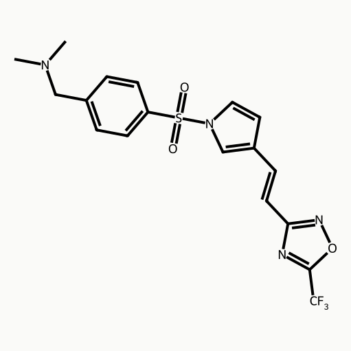 CN(C)Cc1ccc(S(=O)(=O)n2ccc(C=Cc3noc(C(F)(F)F)n3)c2)cc1